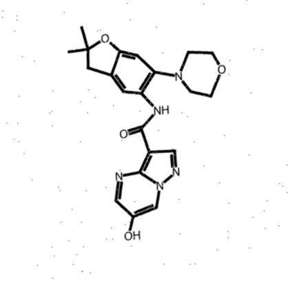 CC1(C)Cc2cc(NC(=O)c3cnn4cc(O)cnc34)c(N3CCOCC3)cc2O1